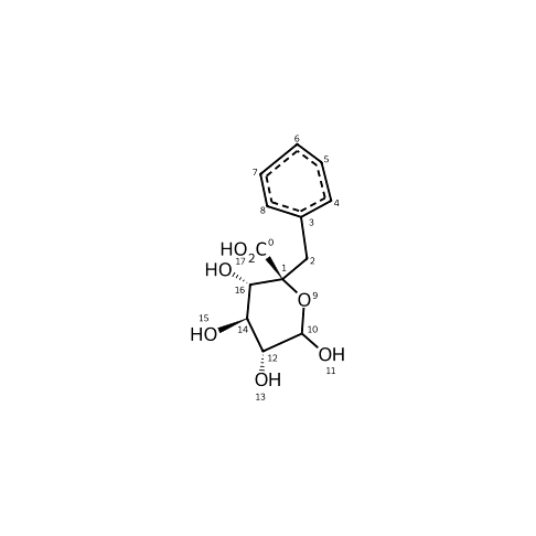 O=C(O)[C@@]1(Cc2ccccc2)OC(O)[C@H](O)[C@@H](O)[C@@H]1O